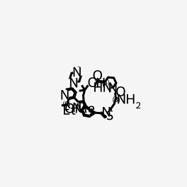 CCn1c(-c2cc(N3CCN(C)CC3)cnc2[C@H](C)OC)c2c3cc(ccc31)-c1csc(n1)C[C@H](N)C(=O)N1CCC[C@H](N1)C(=O)OCC(C)(C)C2